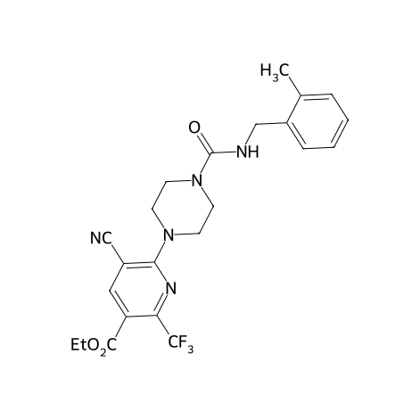 CCOC(=O)c1cc(C#N)c(N2CCN(C(=O)NCc3ccccc3C)CC2)nc1C(F)(F)F